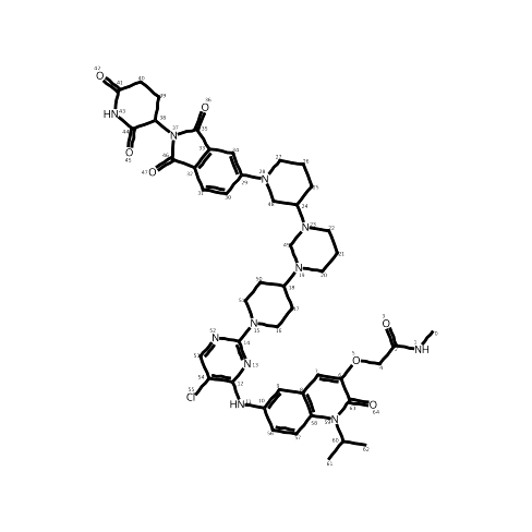 CNC(=O)COc1cc2cc(Nc3nc(N4CCC(N5CCCN(C6CCCN(c7ccc8c(c7)C(=O)N(C7CCC(=O)NC7=O)C8=O)C6)C5)CC4)ncc3Cl)ccc2n(C(C)C)c1=O